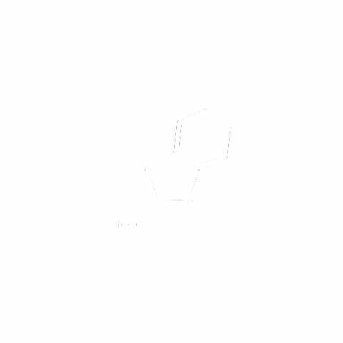 O=C(O)C1Oc2ccccc2O1